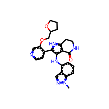 Cn1ncc2c(Nc3c(-c4ccncc4OCC4CCCO4)[nH]c4c3C(=O)NCC4)cccc21